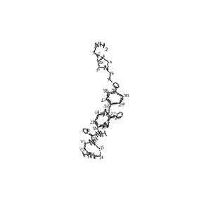 NCC1C2CN(CCOc3ccc(-n4ccc(NC(=O)N5CCNCC5)nc4=O)cc3)CC12